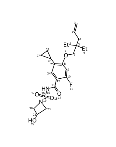 C=CCC(CC)(CC)COc1cc(F)c(C(=O)NS(=O)(=O)N2CC(O)C2)cc1C1CC1